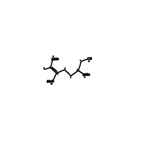 CNC(C)=C(CCC(CC#N)NC)NC